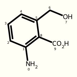 Nc1cccc(CO)c1C(=O)O